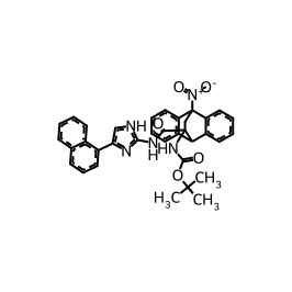 CC(C)(C)OC(=O)NC1(C(=O)Nc2nc(-c3cccc4ccccc34)c[nH]2)CC2([N+](=O)[O-])c3ccccc3C1c1ccccc12